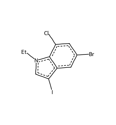 CCn1cc(I)c2cc(Br)cc(Cl)c21